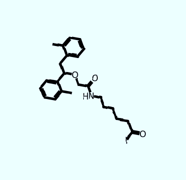 Cc1ccccc1CC(OCC(=O)NCCCCCC(=O)I)c1ccccc1C